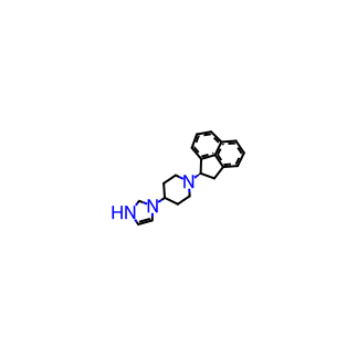 C1=CN(C2CCN([C@@H]3Cc4cccc5cccc3c45)CC2)CN1